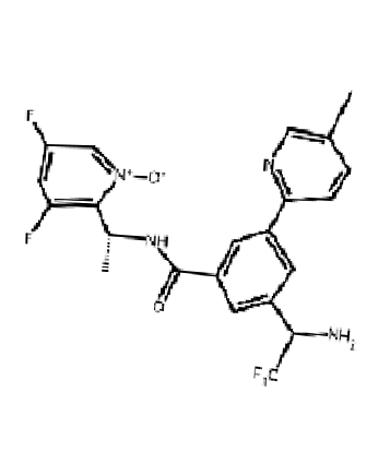 Cc1ccc(-c2cc(C(=O)N[C@H](C)c3c(F)cc(F)c[n+]3[O-])cc(C(N)C(F)(F)F)c2)nc1